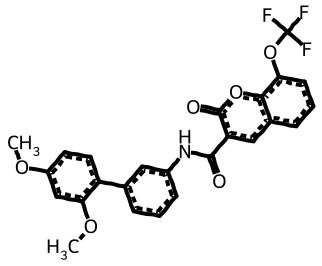 COc1ccc(-c2cccc(NC(=O)c3cc4cccc(OC(F)(F)F)c4oc3=O)c2)c(OC)c1